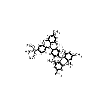 CCO[Si](C)(OCC)c1ccc(N(c2ccc(N(c3c(C)cc(C)cc3C)c3c(C)cc(C)cc3C)cc2)c2c(C)cc(C)cc2C)cc1